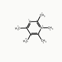 Cc1nc(C)[n+](C)c(C)c1C